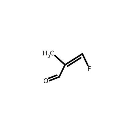 C/C(C=O)=C/F